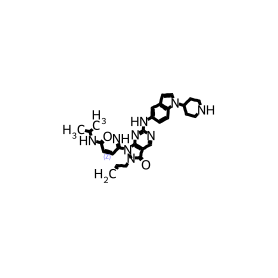 C=CCn1c(=O)c2cnc(Nc3ccc4c(ccn4C4CCNCC4)c3)nc2n1C(=N)/C=C\C(=O)NC(C)C